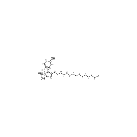 CCCCCCCCCCCCCCCC(=O)N[C@@](C)(Cc1ccc(O)cc1)C(=O)O